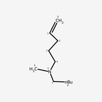 C=CCCCN(C)CCCCC